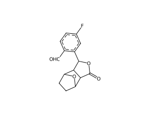 O=Cc1ccc(F)cc1C1OC(=O)C2C3CCC(O3)C12